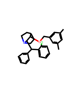 Cc1cc(C)cc(COC2C3CCN(CC3)C2C(c2ccccc2)c2ccccc2Cl)c1